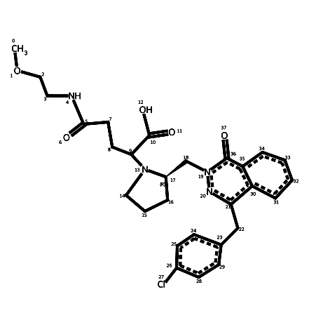 COCCNC(=O)CCC(C(=O)O)N1CCC[C@@H]1Cn1nc(Cc2ccc(Cl)cc2)c2ccccc2c1=O